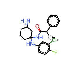 CC(C(=O)NC1(Nc2ccc(F)c(Cl)c2)CCCC(N)C1)c1ccccc1